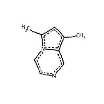 Cc1cc(C)n2ccncc12